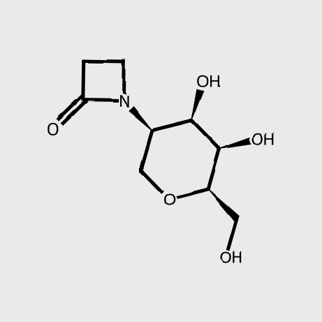 O=C1CCN1[C@@H]1CO[C@H](CO)[C@H](O)[C@@H]1O